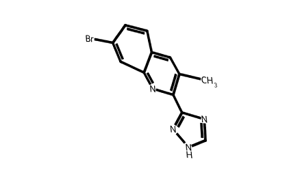 Cc1cc2ccc(Br)cc2nc1-c1nc[nH]n1